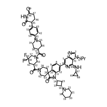 CC(C)n1cnc2cc(-c3ccc4c(c3)N([C@H]3C[C@@H](N5CCCCC5)C3)C(=O)C43CCN(C(=O)C4CN(C(=O)C5CCN(c6ccc(C7CCC(=O)NC7=O)cc6)CC5)CC(F)(F)C4)CC3)nc(NC3CC3)c21